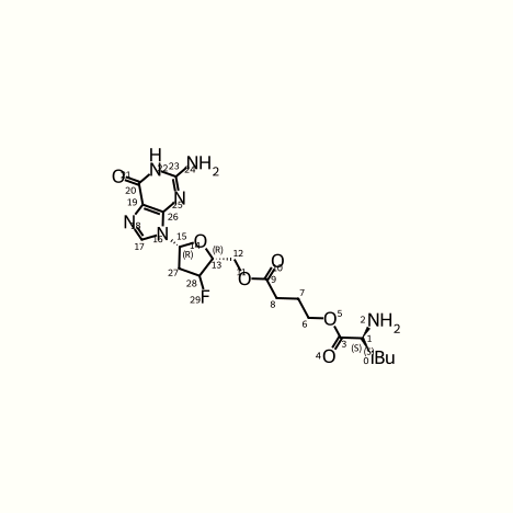 CC[C@H](C)[C@H](N)C(=O)OCCCC(=O)OC[C@H]1O[C@@H](n2cnc3c(=O)[nH]c(N)nc32)CC1F